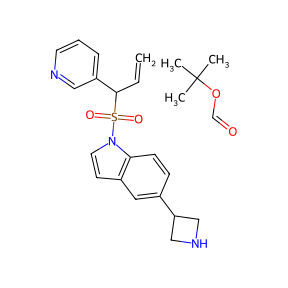 C=CC(c1cccnc1)S(=O)(=O)n1ccc2cc(C3CNC3)ccc21.CC(C)(C)OC=O